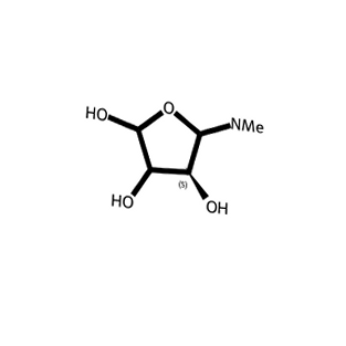 CNC1OC(O)C(O)[C@@H]1O